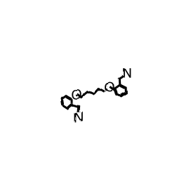 N#CCc1ccccc1OCCCCCOc1ccccc1CC#N